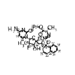 CC(C)OC(=O)[C@H](C)N=[P+]([O-])OC1(OC[C@@]2(F)O[C@@H](n3ccc(N)nc3=O)[C@](C)(F)[C@@H]2O)CC=Cc2ccccc21